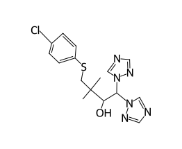 CC(C)(CSc1ccc(Cl)cc1)C(O)C(n1cncn1)n1cncn1